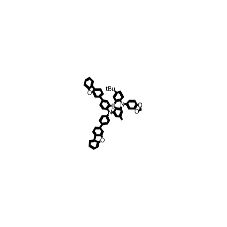 Cc1cc2c3c(c1)N(c1ccc4c(c1)OCO4)c1ccc(C(C)(C)C)cc1B3c1cc(-c3ccc4c(c3)oc3ccccc34)ccc1N2c1ccc(-c2ccc3c(c2)oc2ccccc23)cc1